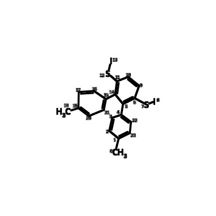 Cc1ccc(-c2c(SI)ccc(SI)c2-c2ccc(C)cc2)cc1